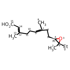 CC[C@]1(C)O[C@@H]1CCC(C)=CCCC(C)=CC(=O)O